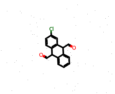 O=CC1c2ccccc2C(C=O)c2cc(Cl)ccc21